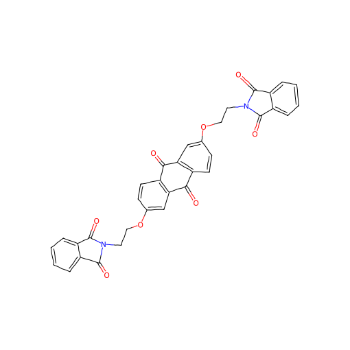 O=C1c2ccc(OCCN3C(=O)c4ccccc4C3=O)cc2C(=O)c2ccc(OCCN3C(=O)c4ccccc4C3=O)cc21